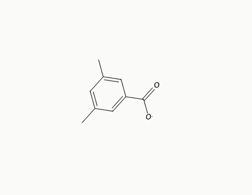 Cc1cc(C)cc(C([O])=O)c1